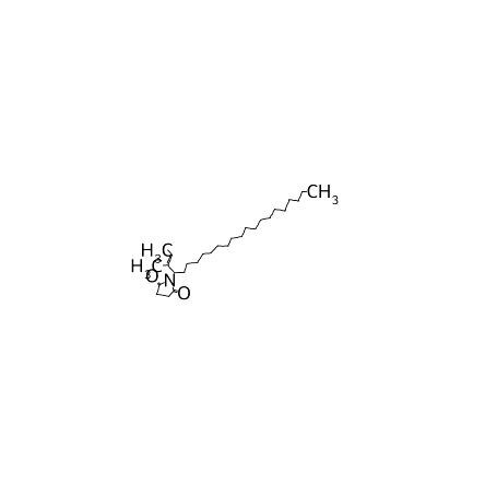 C/C=C(\C)C(CCCCCCCCCCCCCCCCCCC)N1C(=O)CCC1=O